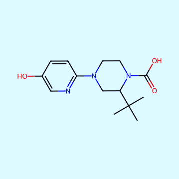 CC(C)(C)C1CN(c2ccc(O)cn2)CCN1C(=O)O